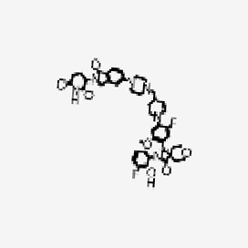 COc1cc(N2CCC(CN3CCN(c4ccc5c(c4)CN([C@H]4CCC(=O)NC4=O)C5=O)CC3)CC2)c(F)cc1[C@@H]1N(c2cccc(F)c2O)C(=O)C12CCOCC2